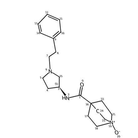 O=C(N[C@H]1CCN(CCc2ccccc2)C1)C12CC[N+]([O-])(CC1)CC2